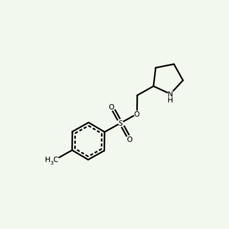 Cc1ccc(S(=O)(=O)OCC2CCCN2)cc1